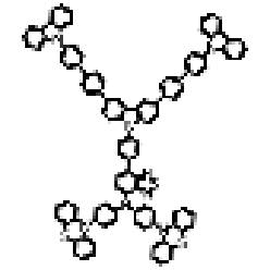 c1ccc2c(c1)Sc1ccccc1N2c1ccc(N(c2ccc(N3c4ccccc4Sc4ccccc43)cc2)c2ccc(-c3ccc(-n4c5ccc(-c6ccc(-c7ccc(-n8c9ccccc9c9ccccc98)cc7)cc6)cc5c5cc(-c6ccc(-c7ccc(-n8c9ccccc9c9ccccc98)cc7)cc6)ccc54)cc3)c3nsnc23)cc1